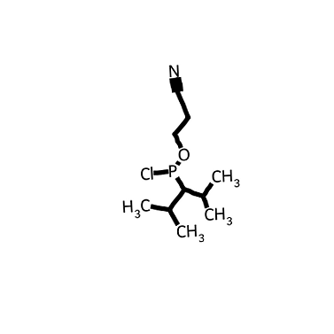 CC(C)C(C(C)C)P(Cl)OCCC#N